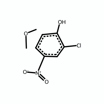 COC.O=[N+]([O-])c1ccc(O)c(Cl)c1